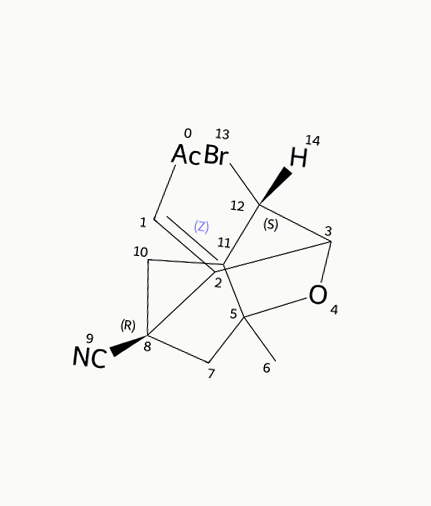 CC(=O)/C=C1\C2OC3(C)C[C@]1(C#N)CC3[C@@H]2Br